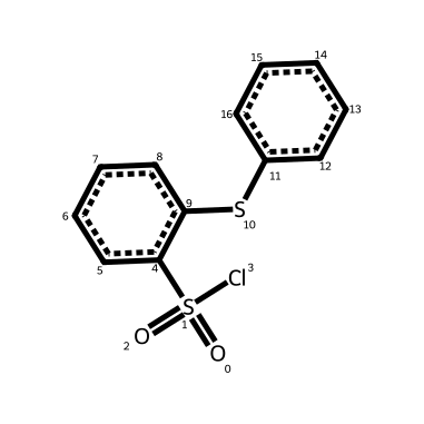 O=S(=O)(Cl)c1ccccc1Sc1ccccc1